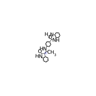 C/C(Nc1ccc(C(=O)Nc2ccccc2N)cc1)=C1/C(=O)Nc2ccccc21